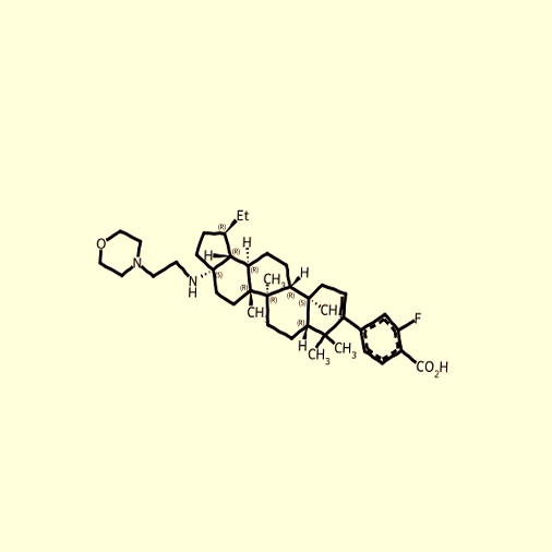 CC[C@@H]1CC[C@]2(NCCN3CCOCC3)CC[C@]3(C)[C@H](CC[C@@H]4[C@@]5(C)CC=C(c6ccc(C(=O)O)c(F)c6)C(C)(C)[C@@H]5CC[C@]43C)[C@@H]12